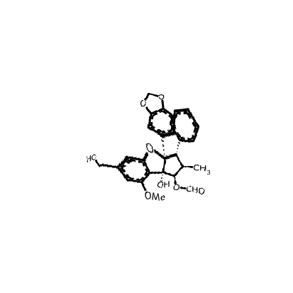 COc1cc(CO)cc2c1[C@]1(O)[C@H](OC=O)[C@H](C)[C@@H](c3ccccc3)[C@]1(c1ccc3c(c1)OCO3)O2